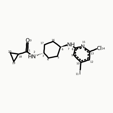 O=C(N[C@H]1CC[C@H](Nc2cc(I)cc(Cl)n2)CC1)C1CC1